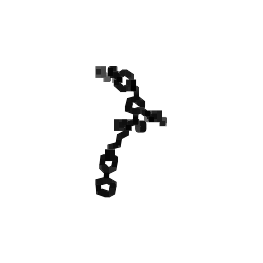 CN1CCN(Cc2ccc(C(=O)NCCCCN3CC=C(c4ccccc4)CC3)c(N)c2)CC1